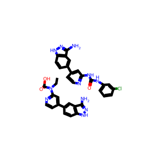 CCN(C(=O)O)c1cc(-c2ccc3[nH]nc(N)c3c2)ccn1.Nc1n[nH]c2ccc(-c3ccnc(NC(=O)Nc4cccc(Cl)c4)c3)cc12